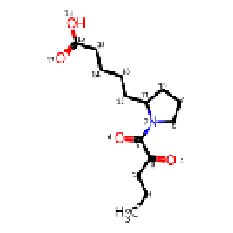 CCCC(=O)C(=O)N1CCCC1CCCCC(=O)O